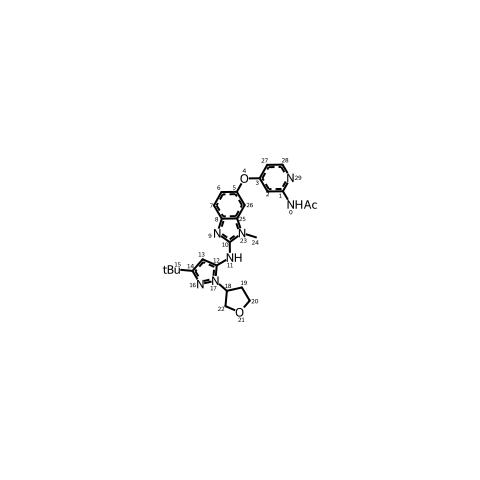 CC(=O)Nc1cc(Oc2ccc3nc(Nc4cc(C(C)(C)C)nn4C4CCOC4)n(C)c3c2)ccn1